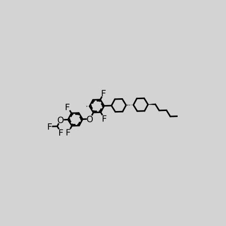 CCCCC[C@H]1CC[C@H](C2CCC(c3c(F)c[c]c(Oc4cc(F)c(OC(F)F)c(F)c4)c3F)CC2)CC1